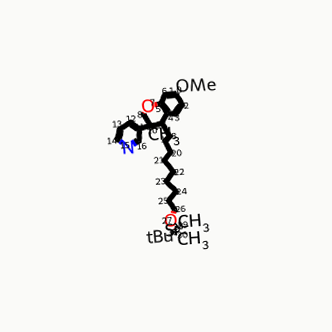 COc1ccc2c(c1)OCC(C)(c1cccnc1)C2CCCCCCCCCO[Si](C)(C)C(C)(C)C